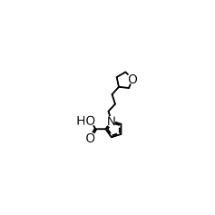 O=C(O)c1cccn1CCCC1CCOC1